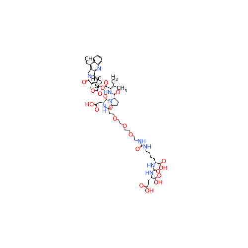 CCc1c2c(nc3ccccc13)-c1cc3c(c(=O)n1C2)COC(=O)[Si@@]3(CC)OC(=O)[C@@H](NC(=O)[C@@H]1CCCN1C(=O)[C@H](CC(=O)O)NC(=O)CCOCCOCCOCCNC(=O)NCCCC[C@H](NC(=O)N[C@@H](CCC(=O)O)C(=O)O)C(=O)O)C(C)C